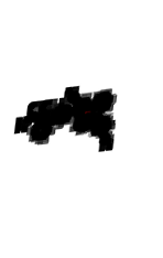 C=C(C#N)c1c2c(n(-c3ccc(-c4ccc(-c5ccccc5-n5c6ccccc6c6cc(C#N)ccc65)cc4C#N)cc3)c1C)C=CCC2